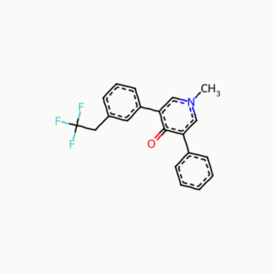 Cn1cc(-c2ccccc2)c(=O)c(-c2cccc(CC(F)(F)F)c2)c1